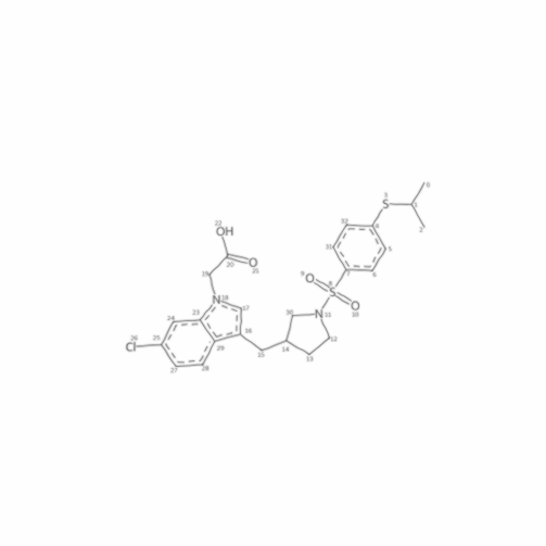 CC(C)Sc1ccc(S(=O)(=O)N2CCC(Cc3cn(CC(=O)O)c4cc(Cl)ccc34)C2)cc1